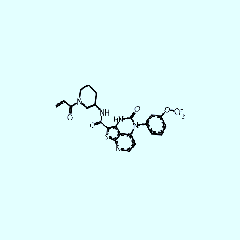 C=CC(=O)N1CCCC(NC(=O)c2sc3nccc4c3c2NC(=O)N4c2cccc(OC(F)(F)F)c2)C1